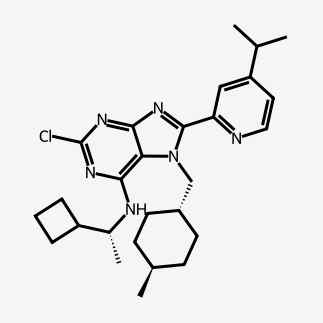 CC(C)c1ccnc(-c2nc3nc(Cl)nc(N[C@H](C)C4CCC4)c3n2C[C@H]2CC[C@H](C)CC2)c1